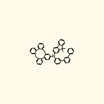 CC1(C)c2ccccc2-c2ccc(N(c3cccc(-c4cccc(-c5ccccc5)c4)c3)c3ccc4c(c3)Cc3ccccc3-c3ccccc3Cc3ccccc3-4)cc21